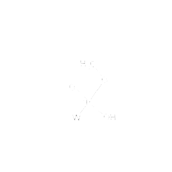 CO[P](=O)(O)[W]